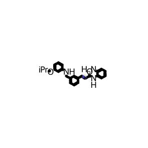 CC(C)Oc1cccc(NCc2cccc(/C=C/C(=O)Nc3ccccc3N)c2)c1